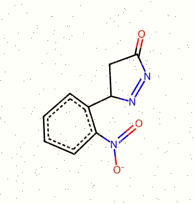 O=C1CC(c2ccccc2[N+](=O)[O-])N=N1